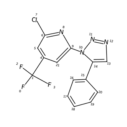 FC(F)(F)c1cc(Cl)nc(-n2nncc2-c2ccccc2)c1